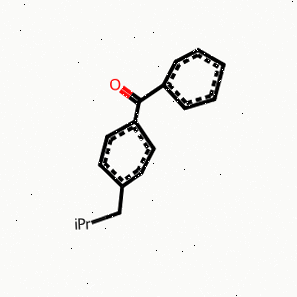 CC(C)Cc1ccc(C(=O)c2ccccc2)cc1